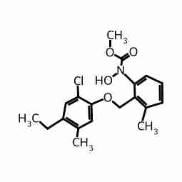 CCc1cc(Cl)c(OCc2c(C)cccc2N(O)C(=O)OC)cc1C